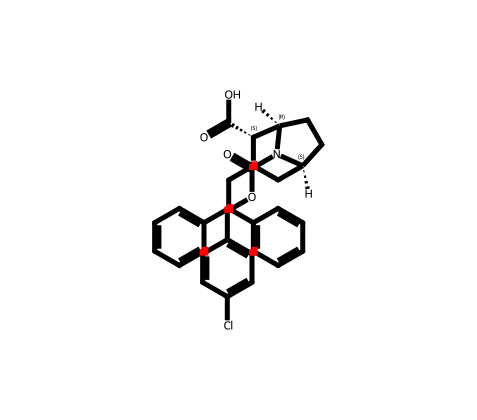 O=C(O)[C@@H]1[C@H]2CC[C@@H](CN1CC(c1ccccc1)c1ccccc1)N2C(=O)OCc1ccc(Cl)cc1